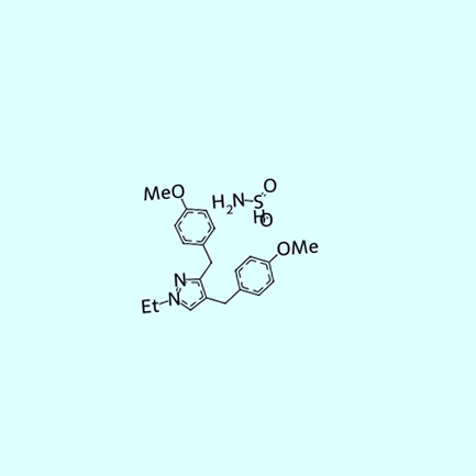 CCn1cc(Cc2ccc(OC)cc2)c(Cc2ccc(OC)cc2)n1.N[SH](=O)=O